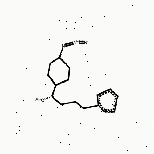 CC(=O)O[C@@H](CCCc1ccccc1)C1CCC(N=[N+]=[N-])CC1